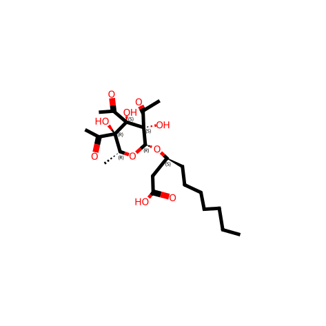 CCCCCCC[C@@H](CC(=O)O)O[C@@H]1O[C@H](C)[C@](O)(C(C)=O)[C@@](O)(C(C)=O)[C@@]1(O)C(C)=O